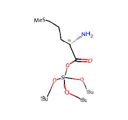 CSCC[C@H](N)C(=O)O[Si](OC(C)(C)C)(OC(C)(C)C)OC(C)(C)C